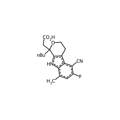 CCCCC1(CC(=O)O)OCCc2c1[nH]c1c(C)cc(F)c(C#N)c21